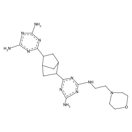 Nc1nc(N)nc(C2CC3CC2CC3c2nc(N)nc(NCCN3CCOCC3)n2)n1